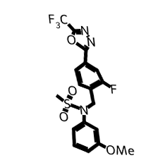 COc1cccc(N(Cc2ccc(-c3nnc(C(F)(F)F)o3)cc2F)S(C)(=O)=O)c1